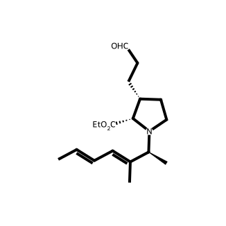 CC=CC=C(C)[C@H](C)N1CC[C@@H](CCC=O)[C@H]1C(=O)OCC